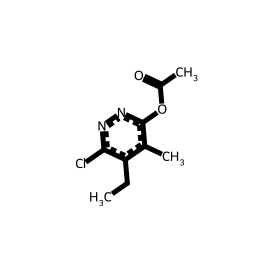 CCc1c(Cl)nnc(OC(C)=O)c1C